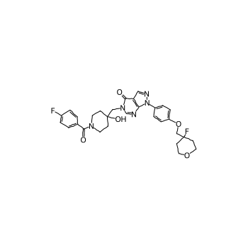 O=C(c1ccc(F)cc1)N1CCC(O)(Cn2cnc3c(cnn3-c3ccc(OCC4(F)CCOCC4)cc3)c2=O)CC1